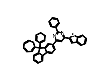 C1=CC=C(C2(C3=CCCC=C3)c3ccccc3-c3ccc(-c4cc(-c5cc6ccccc6s5)nc(-c5ccccc5)n4)cc32)CC=C1